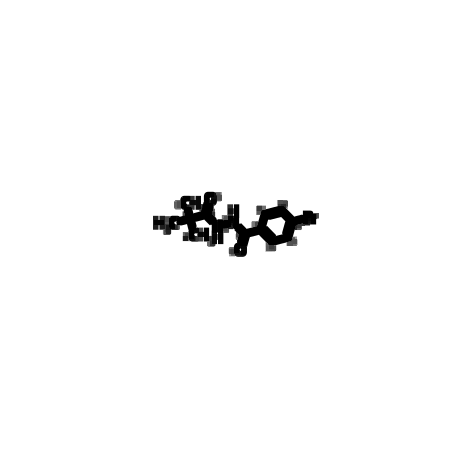 CC(C)(C)C(=O)NNC(=O)c1ccc(Br)cc1